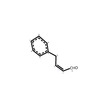 O=C/C=C\Cc1ccccc1